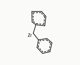 [Zr].c1ccc(Cc2ccccc2)cc1